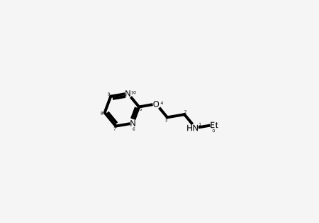 CCNCCOc1ncccn1